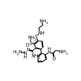 NCCNSc1ccc(-c2ccccc2NC(=O)CN)c(/C(N)=N/NN)c1[S+](N)[O-]